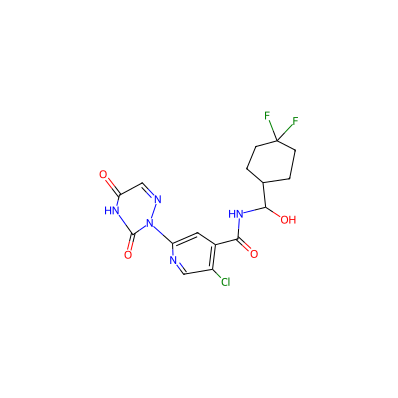 O=C(NC(O)C1CCC(F)(F)CC1)c1cc(-n2ncc(=O)[nH]c2=O)ncc1Cl